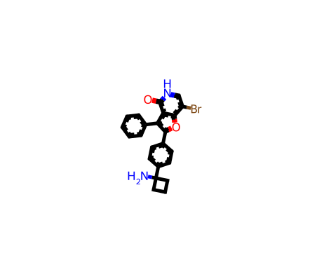 NC1(c2ccc(-c3oc4c(Br)c[nH]c(=O)c4c3-c3ccccc3)cc2)CCC1